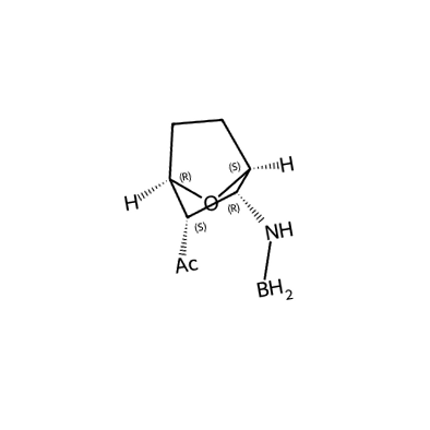 BN[C@@H]1[C@H](C(C)=O)[C@H]2CC[C@@H]1O2